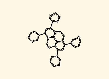 c1ccc(-c2cc(-c3cccnc3)c3ccc4c(-c5cccnc5)cc(-c5cccnc5)c5ccc2c3c54)cc1